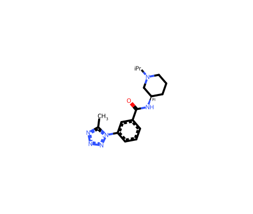 Cc1nnnn1-c1cccc(C(=O)N[C@@H]2CCCN(C(C)C)C2)c1